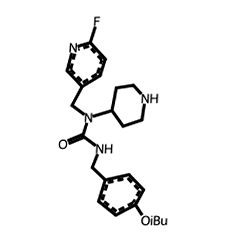 CC(C)COc1ccc(CNC(=O)N(Cc2ccc(F)nc2)C2CCNCC2)cc1